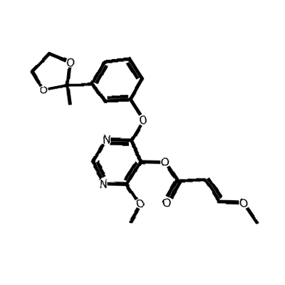 COC=CC(=O)Oc1c(OC)ncnc1Oc1cccc(C2(C)OCCO2)c1